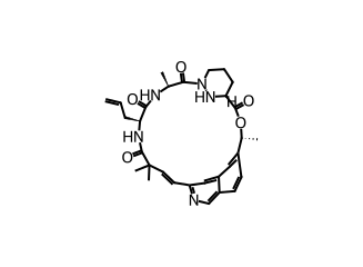 C=CC[C@@H]1NC(=O)C(C)(C)/C=C/c2cc3cc(ccc3cn2)[C@@H](C)OC(=O)[C@@H]2CCCN(N2)C(=O)[C@H](C)NC1=O